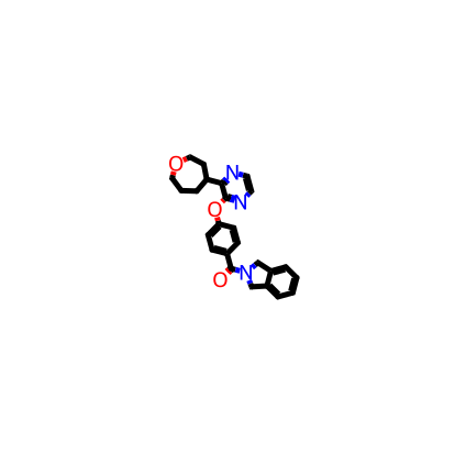 O=C(c1ccc(Oc2nccnc2C2CCCOCC2)cc1)N1Cc2ccccc2C1